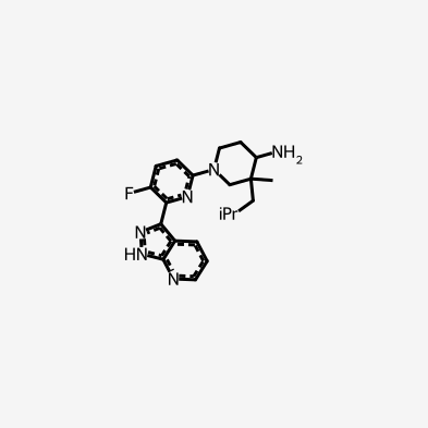 CC(C)CC1(C)CN(c2ccc(F)c(-c3n[nH]c4ncccc34)n2)CCC1N